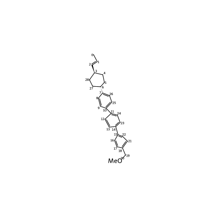 CC=C[C@H]1CC[C@H](c2ccc(-c3ccc(-c4ccc(COC)cc4)cc3)cc2)CC1